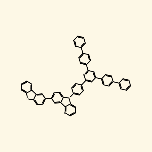 c1ccc(-c2ccc(-c3cc(-c4ccc(-c5ccccc5)cc4)nc(-c4ccc(-n5c6ccc(-c7ccc8oc9ccccc9c8c7)cc6c6ncccc65)cc4)c3)cc2)cc1